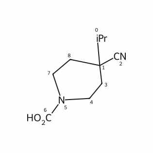 CC(C)C1(C#N)CCN(C(=O)O)CC1